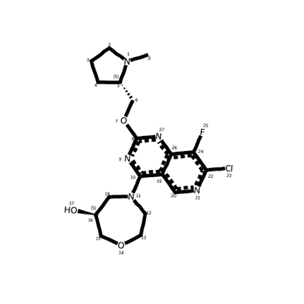 CN1CCC[C@H]1COc1nc(N2CCOC[C@@H](O)C2)c2cnc(Cl)c(F)c2n1